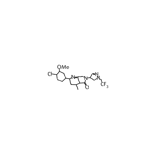 COC1CC(C2CC(C)C3C(=O)N(C4C=NN(CC(F)(F)F)C4)CC3=N2)CCC1Cl